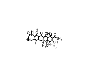 CN(C)[C@@H]1C(O)=C(C(N)=O)C(=O)[C@@]2(O)C(O)=C3C(=O)c4c(O)c5c(c(F)c4C[C@H]3C[C@@H]12)CNCC(=O)N5